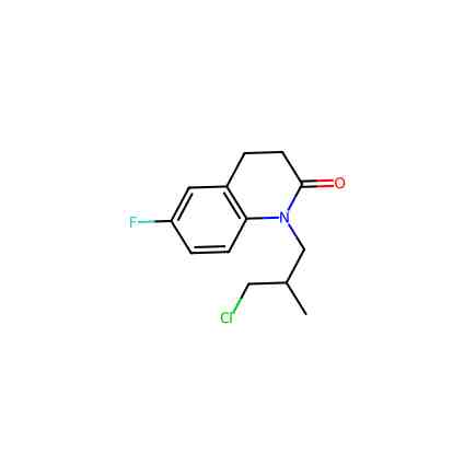 CC(CCl)CN1C(=O)CCc2cc(F)ccc21